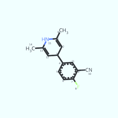 CC1=CC(c2ccc(F)c(C#N)c2)C=C(C)N1